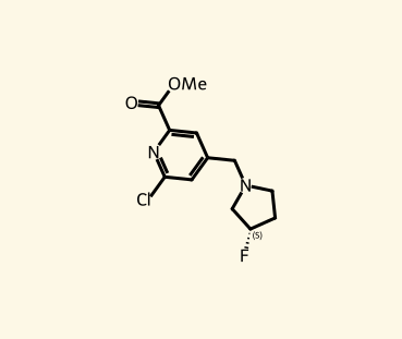 COC(=O)c1cc(CN2CC[C@H](F)C2)cc(Cl)n1